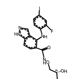 O=C(NOC[C@H](O)CO)c1ccc2[nH]ncc2c1Nc1ccc(I)cc1F